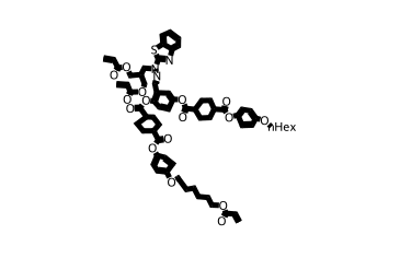 C=CC(=O)OCCCCCCOc1ccc(OC(=O)C2CCC(C(=O)Oc3ccc(OC(=O)C4CCC(C(=O)Oc5ccc(OCCCCCC)cc5)CC4)cc3/C=N/N(CC(COC(=O)C=C)COC(=O)C=C)c3nc4ccccc4s3)CC2)cc1